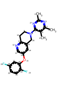 Cc1nc(C)c(C)c(N2CCc3ncc(Oc4cc(F)ccc4F)cc3C2)n1